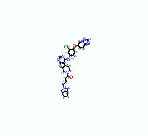 O=C(/C=C/CN1CC2CCC(C2)C1)N1CCc2c(sc3ncnc(Nc4ccc(Oc5ccc6ncnn6c5)c(Cl)c4)c23)C1